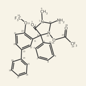 CN1C(=O)C(c2ccccc2)(c2cc(-c3ccccc3)ccc2OC(F)(F)F)N(OC(=O)C(F)(F)F)C1N